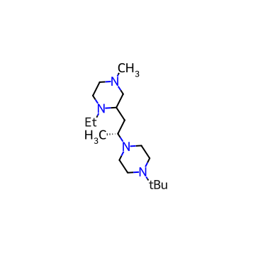 CCN1CCN(C)CC1C[C@@H](C)N1CCN(C(C)(C)C)CC1